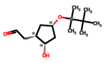 CC(C)(C)[Si](C)(C)O[C@H]1C[C@@H](CC=O)[C@@H](O)C1